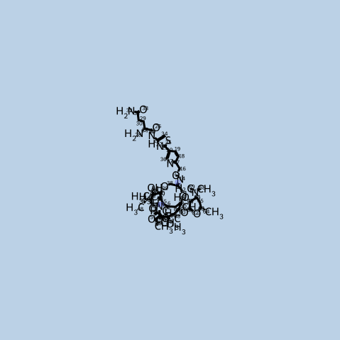 CCC(=O)/N=C1\[C@H](C)C[C@@]2(C)OC/C(=N/OCc3ccc(-c4nc(NC(=O)[C@@H](N)CCC(N)=O)cs4)cn3)CO[C@H]([C@H]1C)[C@](C)(O)[C@@H](CC)OC(=O)[C@@](C)(F)C(=O)[C@H](C)[C@H]2O[C@@H]1O[C@H](C)C[C@H](N(C)C)[C@H]1O